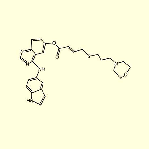 O=C(C=CCSCCCN1CCOCC1)Oc1ccc2ncnc(Nc3ccc4[nH]ccc4c3)c2c1